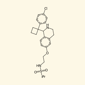 CC(C)S(=O)(=O)NCCOc1ccc2c(c1)CCNC2C1(c2ccc(Cl)cc2)CCC1